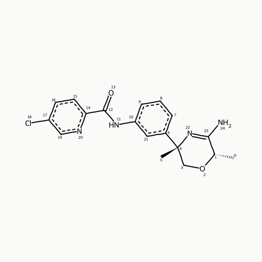 C[C@@H]1OC[C@](C)(c2cccc(NC(=O)c3ccc(Cl)cn3)c2)N=C1N